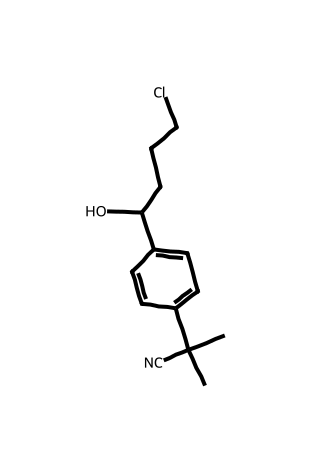 CC(C)(C#N)c1ccc(C(O)CCCCl)cc1